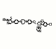 CCC(C)n1ncn(-c2ccc(N3CCN(c4ccc(OC[C@@H]5CO[C@@](Cn6nccn6)(c6ccc(Cl)cc6Cl)O5)cc4)CC3)cc2)c1=S